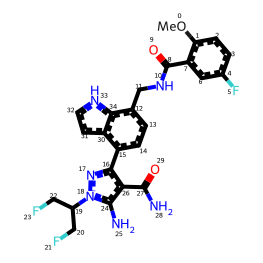 COc1ccc(F)cc1C(=O)NCc1ccc(-c2nn(C(CF)CF)c(N)c2C(N)=O)c2cc[nH]c12